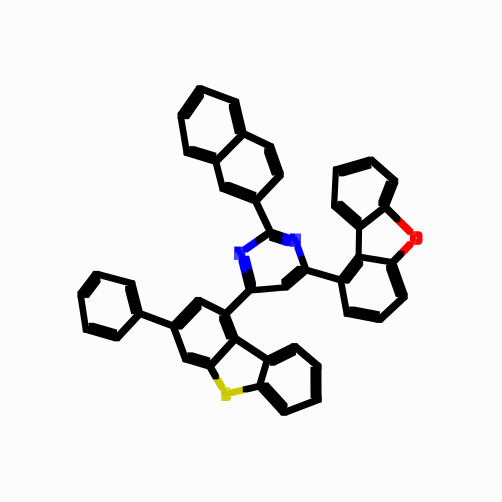 c1ccc(-c2cc(-c3cc(-c4cccc5oc6ccccc6c45)nc(-c4ccc5ccccc5c4)n3)c3c(c2)sc2ccccc23)cc1